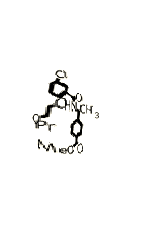 COC(=O)c1ccc([C@H](C)NC(=O)c2cc(Cl)ccc2OCCOC(C)C)cc1